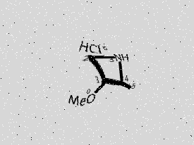 COC1CNC1C.Cl